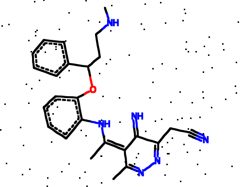 CNCCC(Oc1ccccc1N/C(C)=C1\C(=N)C(CC#N)=NN=C1C)c1ccccc1